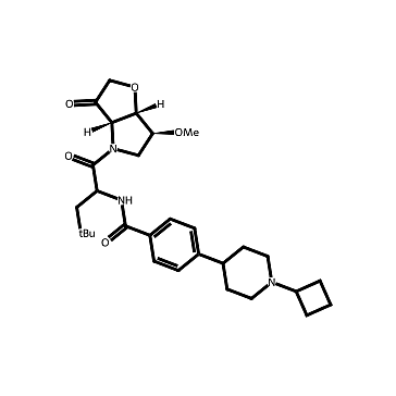 CO[C@H]1CN(C(=O)C(CC(C)(C)C)NC(=O)c2ccc(C3CCN(C4CCC4)CC3)cc2)[C@@H]2C(=O)CO[C@H]12